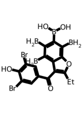 Bc1c(B(O)O)c(B)c2oc(CC)c(C(=O)c3cc(Br)c(O)c(Br)c3)c2c1B